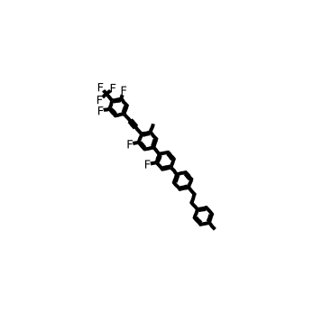 Cc1ccc(CCc2ccc(-c3ccc(-c4cc(C)c(C#Cc5cc(F)c(C(F)(F)F)c(F)c5)c(F)c4)c(F)c3)cc2)cc1